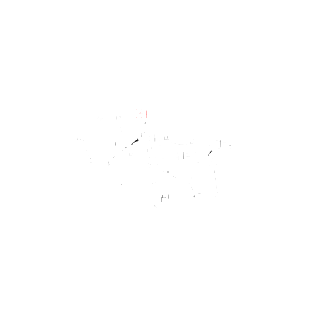 C[C@@]12CCC[C@H]1C1=CC=C3CCCC(O)[C@]3(C)[C@H]1CC2